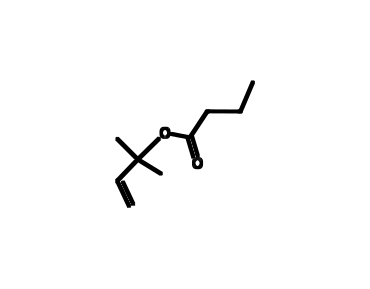 C=CC(C)(C)OC(=O)CCC